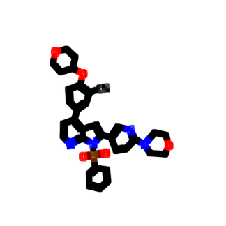 N#Cc1cc(-c2ccnc3c2cc(-c2ccc(N4CCOCC4)nc2)n3S(=O)(=O)c2ccccc2)ccc1OC1CCOCC1